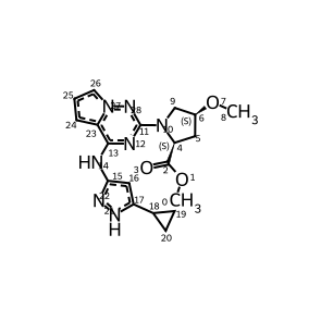 COC(=O)[C@@H]1C[C@H](OC)CN1c1nc(Nc2cc(C3CC3)[nH]n2)c2cccn2n1